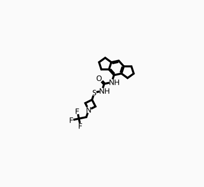 O=C(NSC1CN(CC(F)(F)F)C1)Nc1c2c(cc3c1CCC3)CCC2